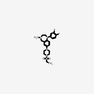 CCS(=O)(=O)N1CCN(c2ccc3c(c2)CN(C)CCN3c2ccc(F)c(F)c2)CC1